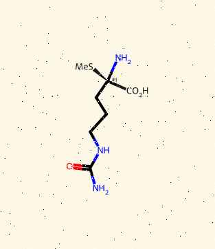 CS[C@](N)(CCCNC(N)=O)C(=O)O